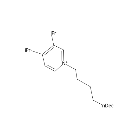 CCCCCCCCCCCCCC[n+]1ccc(C(C)C)c(C(C)C)c1